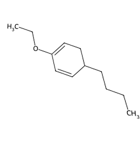 CCCCC1C=CC(OCC)=CC1